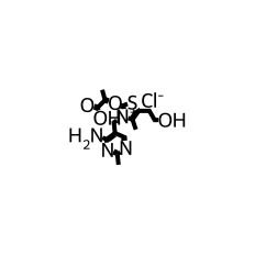 CC(=O)C(=O)O.Cc1ncc(C[n+]2csc(CCO)c2C)c(N)n1.[Cl-]